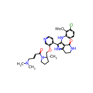 COc1c(Cl)cccc1Nc1c(-c2ccncc2OC[C@@]2(C)CCCN2C(=O)/C=C/CN(C)C)[nH]c2c1C(=O)NCC2